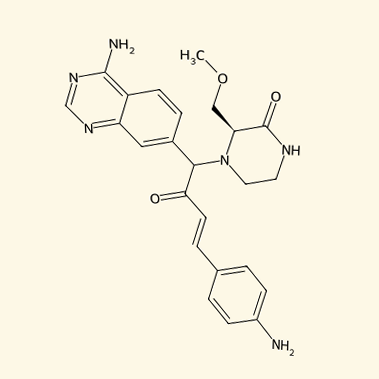 COC[C@H]1C(=O)NCCN1C(C(=O)C=Cc1ccc(N)cc1)c1ccc2c(N)ncnc2c1